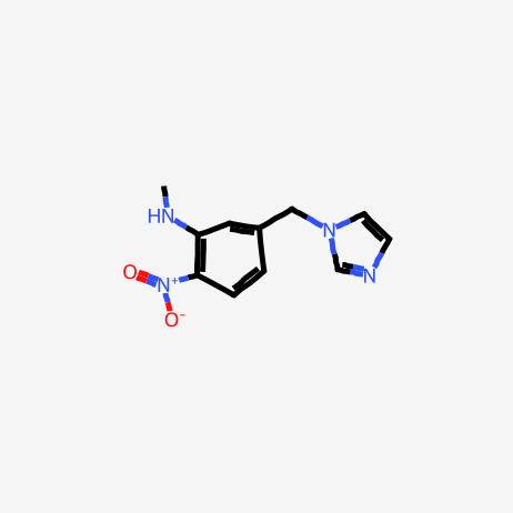 CNc1cc(Cn2ccnc2)ccc1[N+](=O)[O-]